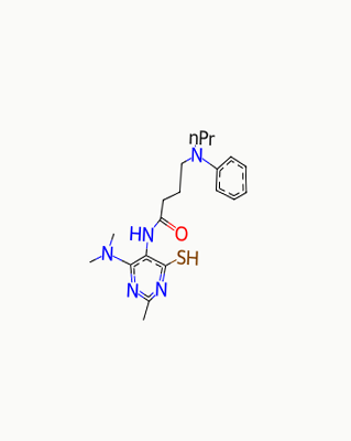 CCCN(CCCC(=O)Nc1c(S)nc(C)nc1N(C)C)c1ccccc1